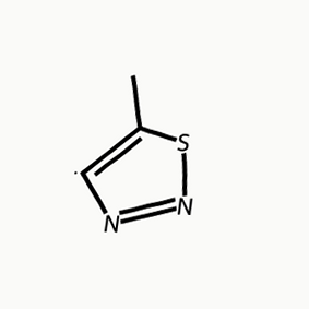 Cc1[c]nns1